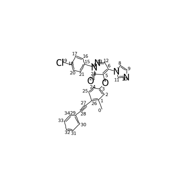 Cc1cc(Oc2c(-n3ccnc3)cnn(-c3ccc(Cl)cc3)c2=O)ccc1C#Cc1ccccc1